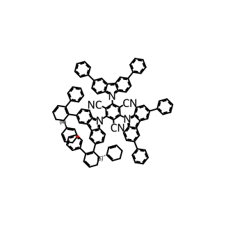 N#Cc1c(-n2c3ccc(C4=C(c5ccccc5)C=CC[C@@H]4C4=CCCC=C4)cc3c3cc(C4=C(c5ccccc5)C=CC[C@H]4C4=CCCC=C4)ccc32)c(C#N)c(-n2c3ccc(-c4ccccc4)cc3c3cc(-c4ccccc4)ccc32)c(C#N)c1-n1c2ccc(-c3ccccc3)cc2c2cc(-c3ccccc3)ccc21